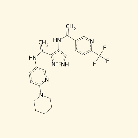 C=C(Nc1c[nH]nc1C(=C)Nc1ccc(N2CCCCC2)nc1)c1ccc(C(F)(F)F)nc1